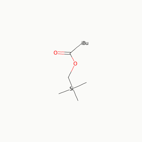 CCC(C)C(=O)OC[Si](C)(C)C